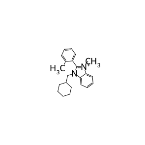 Cc1ccccc1-c1n(CC2CCCCC2)c2ccccc2[n+]1C